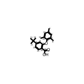 Cc1cc(C)c(Oc2cc(C(C)(C)C)ccc2C(=O)O)c(C)c1